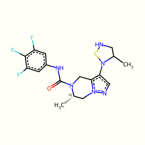 CC1CNSN1c1cnn2c1CN(C(=O)Nc1cc(F)c(F)c(F)c1)[C@@H](C)C2